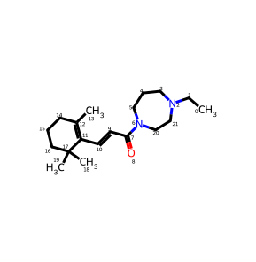 CCN1CCCN(C(=O)/C=C/C2=C(C)CCCC2(C)C)CC1